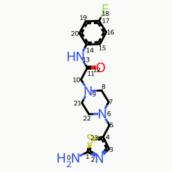 Nc1ncc(CN2CCN(CC(=O)Nc3ccc(F)cc3)CC2)s1